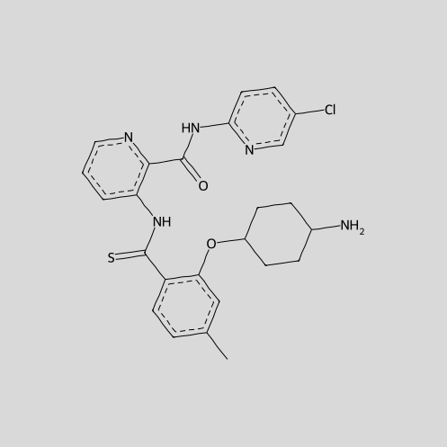 Cc1ccc(C(=S)Nc2cccnc2C(=O)Nc2ccc(Cl)cn2)c(OC2CCC(N)CC2)c1